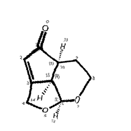 O=C1C=C2CO[C@@H]3OCC[C@H]1[C@H]23